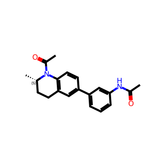 CC(=O)Nc1cccc(-c2ccc3c(c2)CC[C@H](C)N3C(C)=O)c1